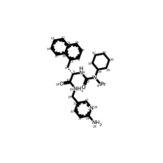 CC(C)N(C(=O)N[C@@H](Cc1cccc2ccccc12)C(=O)NCc1ccc(N)nc1)C1CCCCC1